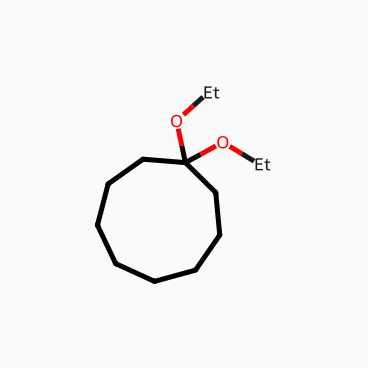 CCOC1(OCC)CCCCCCCC1